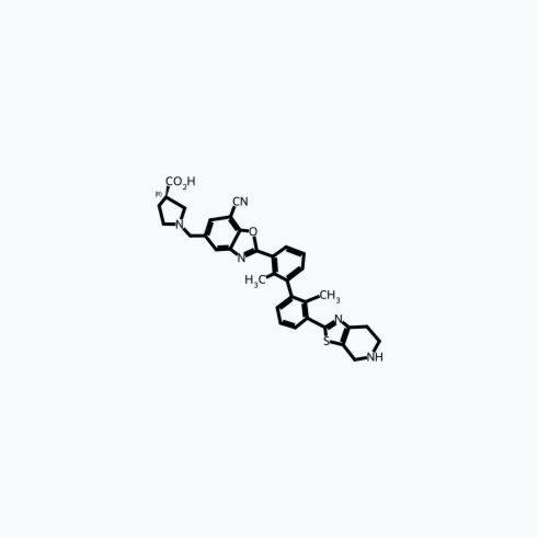 Cc1c(-c2nc3cc(CN4CC[C@@H](C(=O)O)C4)cc(C#N)c3o2)cccc1-c1cccc(-c2nc3c(s2)CNCC3)c1C